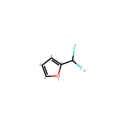 F[C](F)c1ccco1